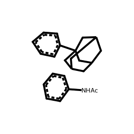 CC(=O)Nc1ccccc1.c1ccc(C23CC4CC(CC(C4)C2)C3)cc1